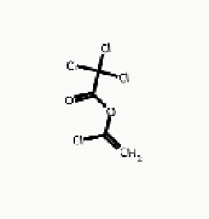 C=C(Cl)OC(=O)C(Cl)(Cl)Cl